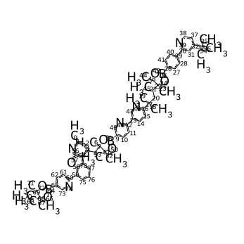 Cc1cc(CC2(C)OB(c3ccc(-c4ccc(C(C)(C)CCC5(C)OB(c6ccc(-c7cc(C(C)(C)C)ccn7)cc6)OC5(C)C)nc4)nc3)OC2(C)C)c2c(n1)oc1c(-c3ccc(B4OC(C)(C)C(C)(C)O4)cn3)cccc12